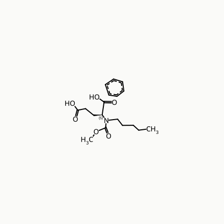 CCCCCN(C(=O)OC)[C@@H](CCC(=O)O)C(=O)O.c1ccccc1